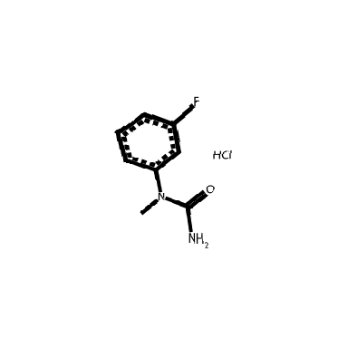 CN(C(N)=O)c1cccc(F)c1.Cl